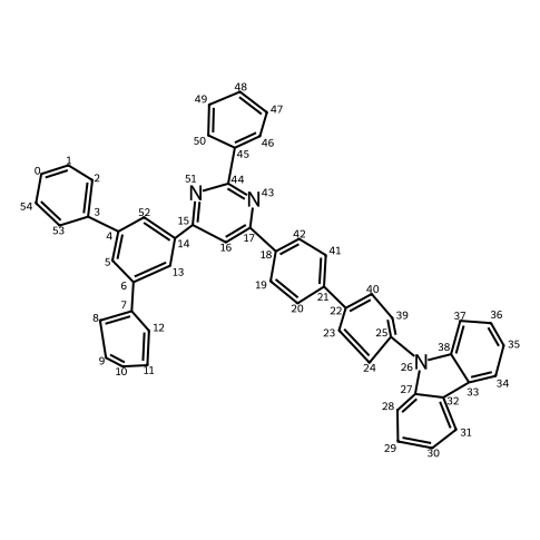 c1ccc(-c2cc(-c3ccccc3)cc(-c3cc(-c4ccc(-c5ccc(-n6c7ccccc7c7ccccc76)cc5)cc4)nc(-c4ccccc4)n3)c2)cc1